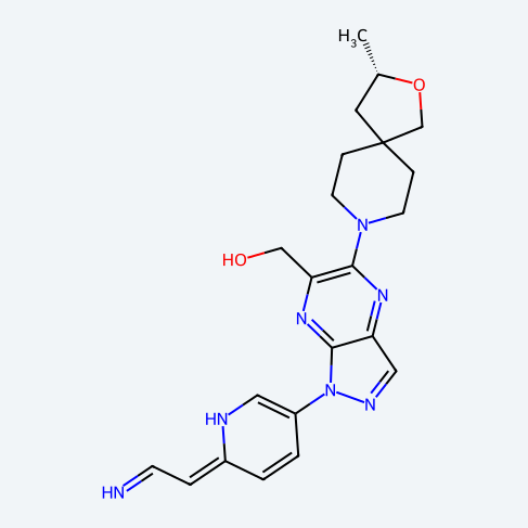 C[C@H]1CC2(CCN(c3nc4cnn(C5=CN/C(=C\C=N)C=C5)c4nc3CO)CC2)CO1